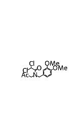 COc1ccc(CN(CC(C)=O)C(=O)C(Cl)Cl)cc1OC